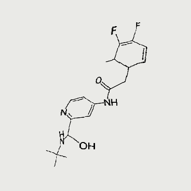 CC1C(F)=C(F)C=CC1CC(=O)Nc1ccnc(C(O)NC(C)(C)C)c1